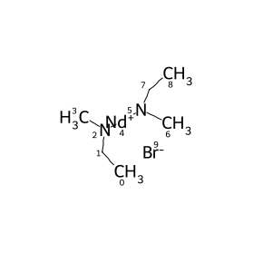 CC[N](C)[Nd+][N](C)CC.[Br-]